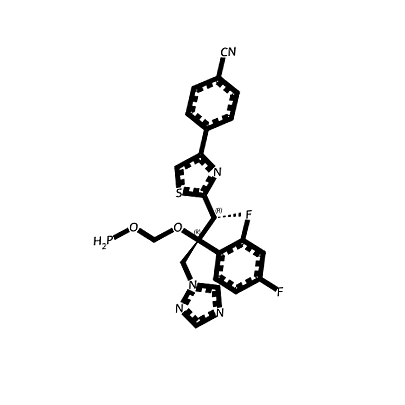 C[C@@H](c1nc(-c2ccc(C#N)cc2)cs1)[C@@](Cn1cncn1)(OCOP)c1ccc(F)cc1F